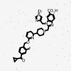 CCn1cnc(Cn2c(CN3CCC(C4CC=CC(OCc5ccc(C(=O)C6CC6)cc5F)=N4)CC3)nc3ccc(C(=O)O)cc32)c1